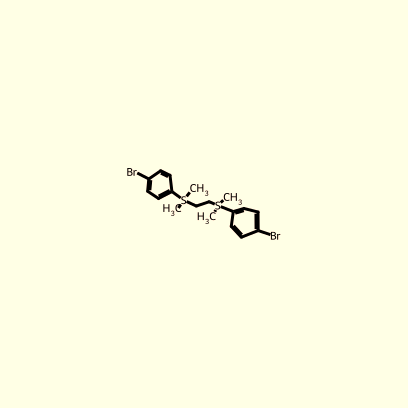 CS(C)(CCS(C)(C)c1ccc(Br)cc1)c1ccc(Br)cc1